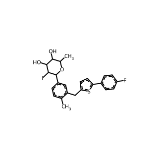 Cc1ccc(C2OC(C)C(O)C(O)C2I)cc1Cc1ccc(-c2ccc(F)cc2)s1